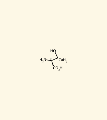 N[C@@H](CO)C(=O)O.[CaH2]